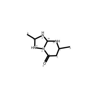 CC1CC(=O)N2NC(C)NC2N1